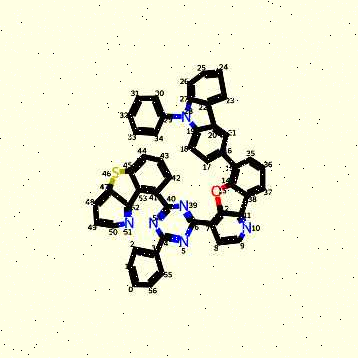 c1ccc(-c2nc(-c3ccnc4c3oc3c(-c5ccc6c(c5)c5ccccc5n6-c5ccccc5)cccc34)nc(-c3cccc4sc5cccnc5c34)n2)cc1